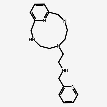 c1ccc(CNCCN2CCNCc3cccc(n3)CNCC2)nc1